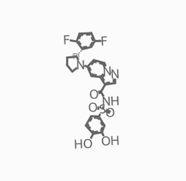 O=C(NS(=O)(=O)c1ccc(O)c(O)c1)c1cnn2ccc(N3CCC[C@@H]3c3cc(F)ccc3F)cc12